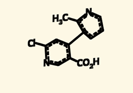 Cc1ncccc1-c1cc(Cl)ncc1C(=O)O